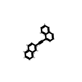 C(#Cc1cccc2ccccc12)c1[c]c2ccccc2cc1